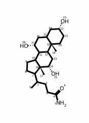 CC(CCC(N)=O)C1CCC2C3C(C[C@H](O)[C@]12C)[C@@]1(C)CC[C@@H](O)CC1C[C@H]3O